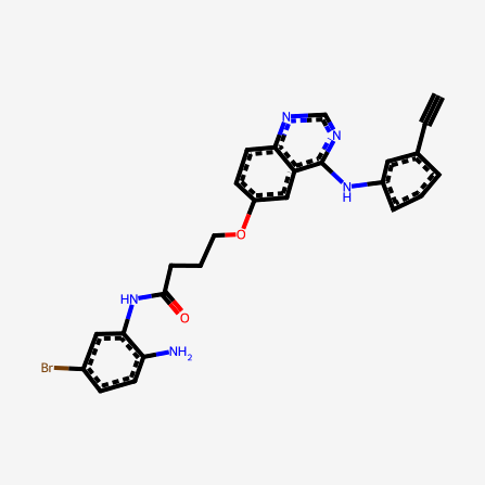 C#Cc1cccc(Nc2ncnc3ccc(OCCCC(=O)Nc4cc(Br)ccc4N)cc23)c1